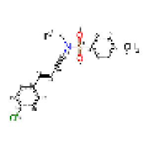 Cc1ccc(S(=O)(=O)N(C#CC=Cc2ccc(Cl)cc2)CC(C)C)cc1